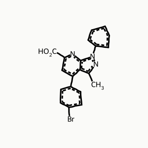 Cc1nn(-c2ccccc2)c2nc(C(=O)O)cc(-c3ccc(Br)cc3)c12